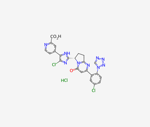 Cl.O=C(O)c1cc(-c2[nH]c([C@@H]3CCc4nc(-c5cc(Cl)ccc5-n5cnnn5)cc(=O)n43)nc2Cl)ccn1